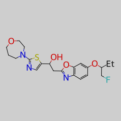 CCC(CF)Oc1ccc2nc(CC(O)c3cnc(N4CCCOCC4)s3)oc2c1